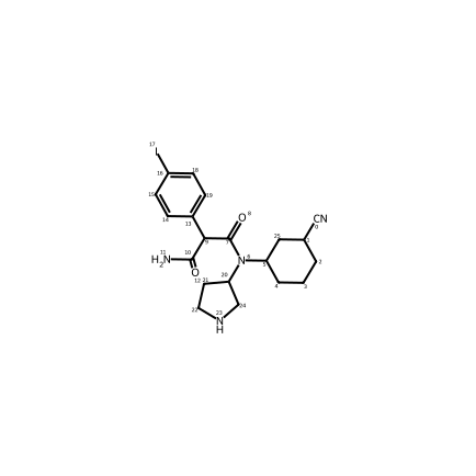 N#CC1CCCC(N(C(=O)C(C(N)=O)c2ccc(I)cc2)C2CCNC2)C1